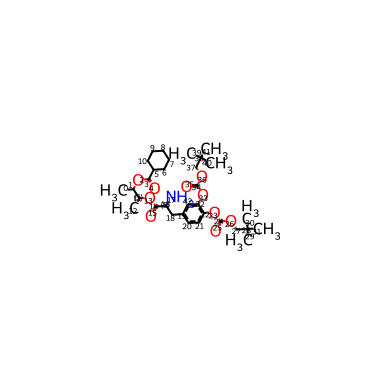 CC(OC(=O)C1CCCCC1)[C@H](C)OC(=O)[C@@H](N)Cc1ccc(OC(=O)OCC(C)(C)C)c(OC(=O)OCC(C)(C)C)c1